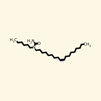 CCCCCCCC/C=C\CCCCCCCCN(CCCCCC)C(N)=O